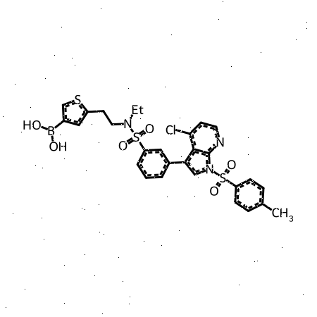 CCN(CCc1cc(B(O)O)cs1)S(=O)(=O)c1cccc(-c2cn(S(=O)(=O)c3ccc(C)cc3)c3nccc(Cl)c23)c1